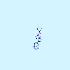 CN1CCC(C(=O)Nc2ccc3c(-c4ccc5nccnc5c4)c[nH]c3n2)CC1